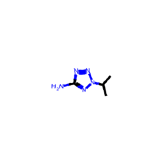 CC(C)n1nnc(N)n1